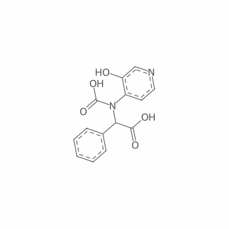 O=C(O)C(c1ccccc1)N(C(=O)O)c1ccncc1O